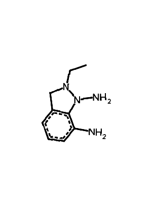 CCN1Cc2cccc(N)c2N1N